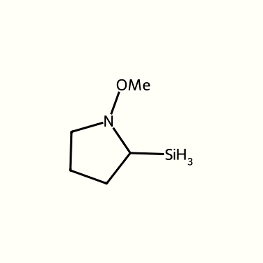 CON1CCCC1[SiH3]